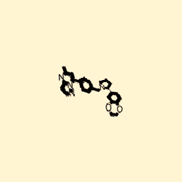 Cc1cc(-c2ccc(CN3CCC[C@@H]3c3ccc4c(c3)OCCO4)cc2)n2nccc2n1